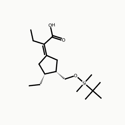 CC/C(C(=O)O)=C1\C[C@@H](CC)[C@@H](CO[Si](C)(C)C(C)(C)C)C1